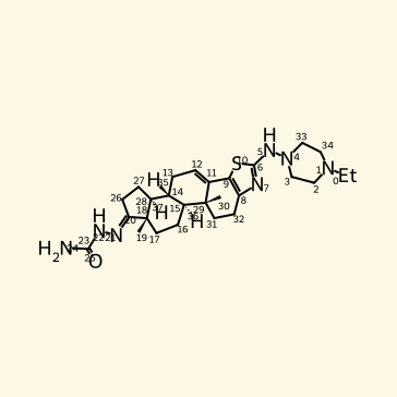 CCN1CCN(Nc2nc3c(s2)C2=CC[C@@H]4[C@H](CC[C@]5(C)/C(=N/NC(N)=O)CC[C@@H]45)[C@@]2(C)CC3)CC1